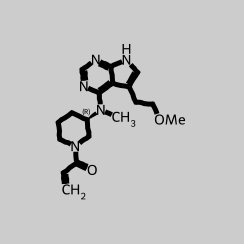 C=CC(=O)N1CCC[C@@H](N(C)c2ncnc3[nH]cc(CCOC)c23)C1